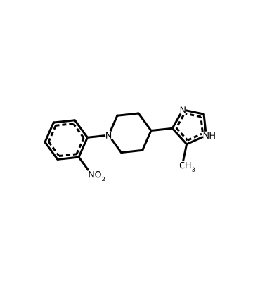 Cc1[nH]cnc1C1CCN(c2ccccc2[N+](=O)[O-])CC1